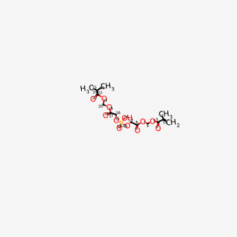 C=C(C)C(=O)OCOC(=O)COP(=O)(O)OCC(=O)OCOC(=O)C(C)C